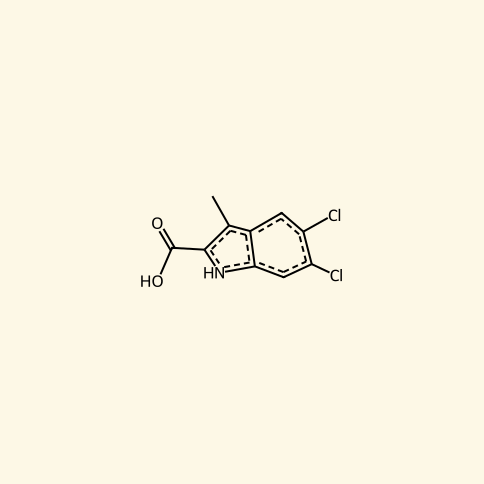 Cc1c(C(=O)O)[nH]c2cc(Cl)c(Cl)cc12